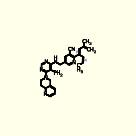 C=C(C)/C=C(\C=C/C)c1ncc(CNc2ncnc(N3CCc4ncccc4C3)c2P)cc1C#N